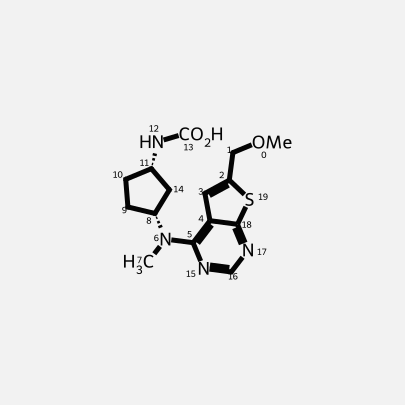 COCc1cc2c(N(C)[C@@H]3CC[C@H](NC(=O)O)C3)ncnc2s1